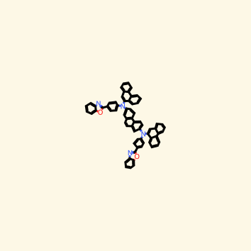 c1ccc2c(c1)cc(N(c1ccc(-c3nc4ccccc4o3)cc1)c1ccc3c(ccc4cc(N(c5ccc(-c6nc7ccccc7o6)cc5)c5cc6ccccc6c6ccccc56)ccc43)c1)c1ccccc12